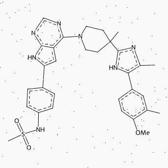 COc1ccc(-c2[nH]c(C3(C)CCN(c4ncnc5[nH]c(-c6ccc(NS(C)(=O)=O)cc6)cc45)CC3)nc2C)cc1C